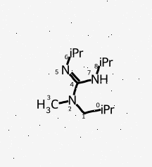 CC(C)CN(C)C(=NC(C)C)NC(C)C